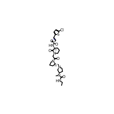 CCNC(=O)N(C)C1CCN(C[C@@H]2CCCN2C(=O)CN2CCC[C@H](NS(=O)(=O)/C=C/c3ccc(Cl)s3)C2=O)C1